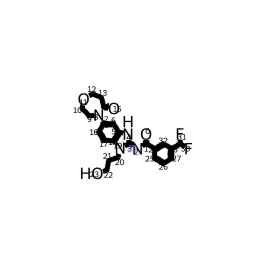 O=C(/N=c1\[nH]c2cc(N3CCOCCC3=O)ccc2n1CCCO)c1cccc(C(F)F)c1